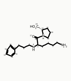 NCCCCC(NCCCc1ccccc1)C(=O)N1CCC[C@H]1C(=O)O